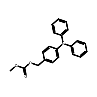 COC(=O)OCc1ccc(N(c2ccccc2)c2ccccc2)cc1